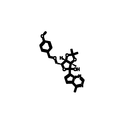 COc1ccc(COC[C@H]2OC(O)(c3ccc4c(C)ncnn34)[C@]3(C)OC(C)(C)O[C@H]23)cc1